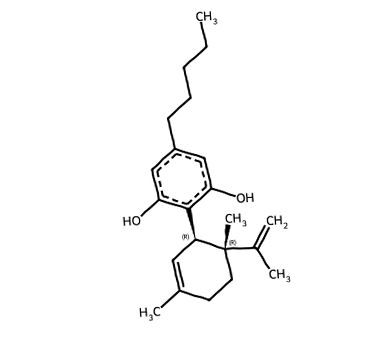 C=C(C)[C@]1(C)CCC(C)=C[C@H]1c1c(O)cc(CCCCC)cc1O